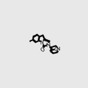 Cc1ccc2c(c1)-n1c(cn(C3CN4CCC3CC4)c1=O)C2